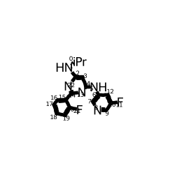 CC(C)Nc1cc(Nc2cncc(F)c2)nc(-c2ccccc2F)n1